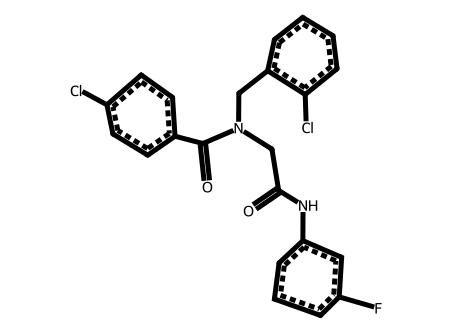 O=C(CN(Cc1ccccc1Cl)C(=O)c1ccc(Cl)cc1)Nc1cccc(F)c1